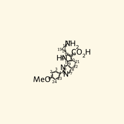 COc1ccc(-c2ncc3c(n2)-c2[nH]c(C4CC4N)c(C(=O)O)c2CC3)cc1